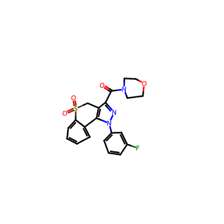 O=C(c1nn(-c2cccc(F)c2)c2c1CS(=O)(=O)c1ccccc1-2)N1CCOCC1